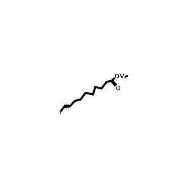 COC(=O)CCCCCCC/C=C/I